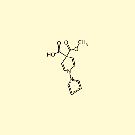 COC(=O)C1(C(=O)O)C=CN(n2cccc2)C=C1